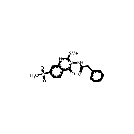 CSc1nc2cc(S(C)(=O)=O)ccc2c(=O)n1NC(=O)Cc1ccccc1